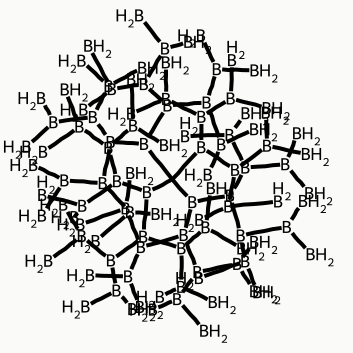 BB(B)B(B(B)B)B(B(B)B)B(B(B(B(B)B)B(B)B)B(B(B)B)B(B)B)C(B(B(B(B)B)B(B)B)B(B(B)B)B(B)B)(B(B(B(B(B)B)B(B)B)B(B(B)B)B(B)B)B(B(B(B)B)B(B)B)B(B(B)B)B(B)B)B(B(B(B(B)B)B(B)B)B(B(B)B)B(B)B)B(B(B(B)B)B(B)B)B(B(B)B)B(B)B